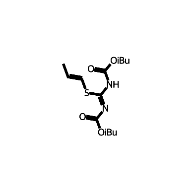 CC=CSC(=NC(=O)OCC(C)C)NC(=O)OCC(C)C